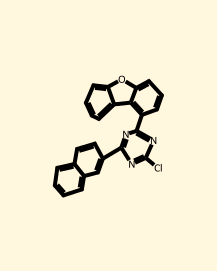 Clc1nc(-c2ccc3ccccc3c2)nc(-c2cccc3oc4ccccc4c23)n1